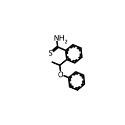 CC(Oc1ccccc1)c1ccccc1C(N)=S